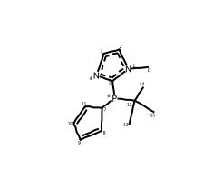 Cn1ccnc1P(C1C=CC=C1)C(C)(C)C